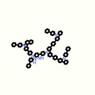 N=C1C(=N)C(N(c2ccc(-c3ccccc3)cc2)c2ccc(-c3ccc4c(c3)c3c5ccccc5ccc3n4-c3ccc(-c4ccccc4)cc3)cc2)=CC=C1c1ccc(-n2c3ccc(-c4ccc(-c5ccc6c7ccccc7n(-c7ccc(-c8ccccc8)cc7)c6c5)cc4)cc3c3cc(-c4ccc(-c5ccc6c7ccccc7n(-c7ccc(-c8ccccc8)cc7)c6c5)cc4)ccc32)cc1